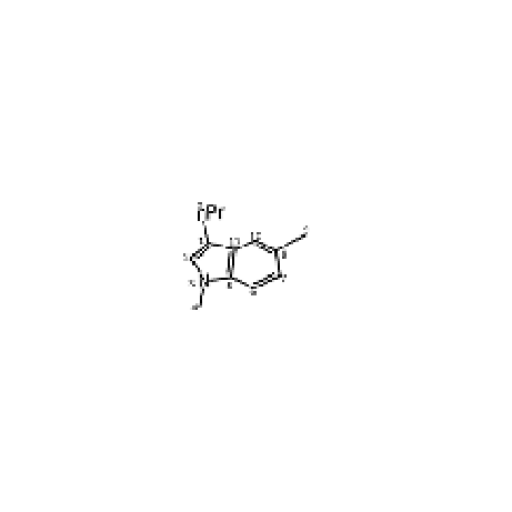 CCCc1cn(C)c2ccc(C)cc12